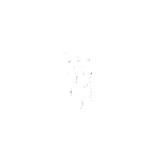 CC(C)(C)CC1OC(C2C=Nc3c(N)ncnc32)C(O)C1O